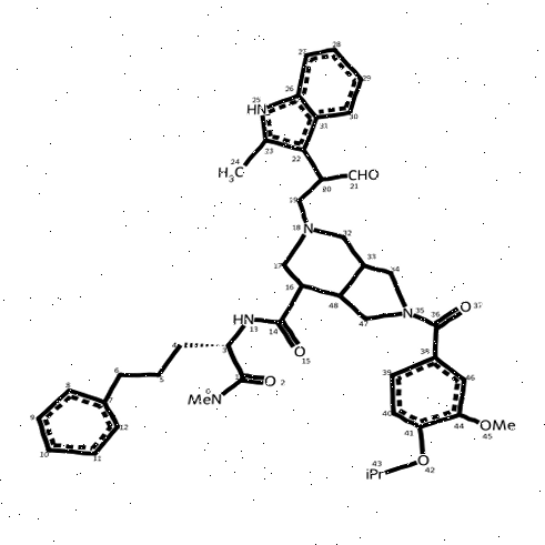 CNC(=O)[C@H](CCCc1ccccc1)NC(=O)C1CN(CC(C=O)c2c(C)[nH]c3ccccc23)CC2CN(C(=O)c3ccc(OC(C)C)c(OC)c3)CC21